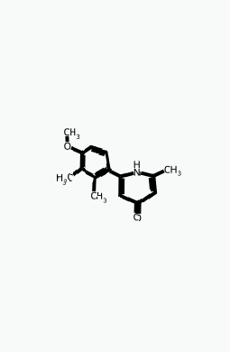 COc1ccc(-c2cc(=O)cc(C)[nH]2)c(C)c1C